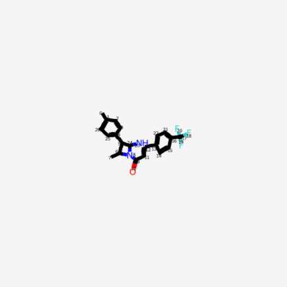 Cc1ccc(C2C(C)N3C(=O)C=C(c4ccc(C(F)(F)F)cc4)NC23)cc1